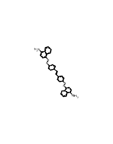 Nc1ccc(N=Nc2ccc(C=Cc3ccc(N=Nc4ccc(N)c5ccccc45)cc3)cc2)c2ccccc12